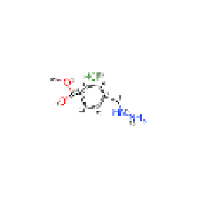 COC(=O)c1ccc(CNN)cc1.Cl